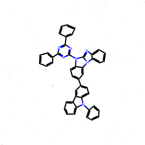 c1ccc(-c2nc(-c3ccccc3)nc(-n3c4ccc(-c5ccc6c(c5)c5ccccc5n6-c5ccccc5)cc4n4c5ccccc5nc34)n2)cc1